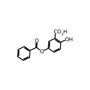 O=C(Oc1ccc(O)c(C(=O)O)c1)c1ccccc1